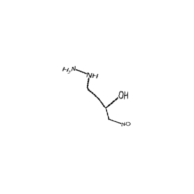 NNCC(O)CN=O